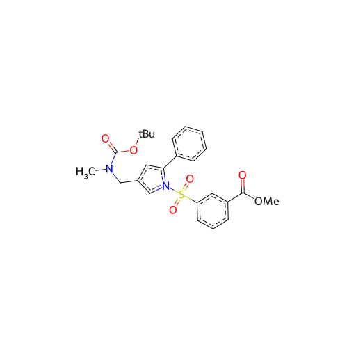 COC(=O)c1cccc(S(=O)(=O)n2cc(CN(C)C(=O)OC(C)(C)C)cc2-c2ccccc2)c1